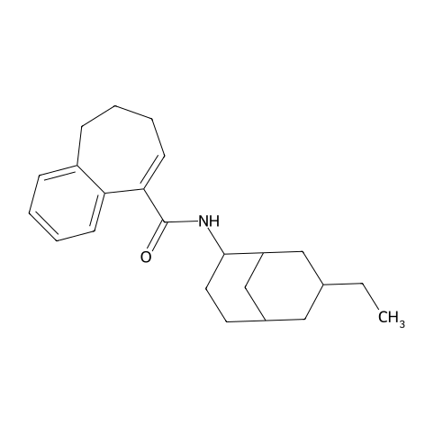 CCC1CC2CCC(NC(=O)C3=CCCCc4ccccc43)C(C1)C2